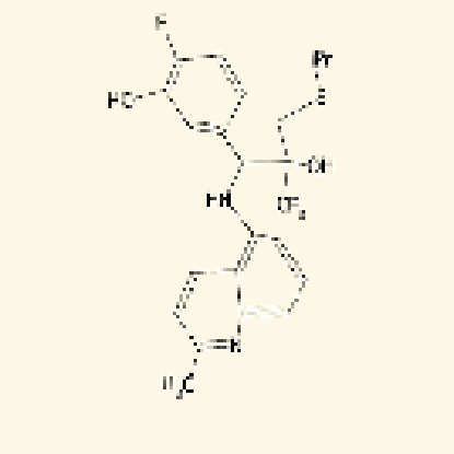 Cc1ccc2c(NC(c3ccc(F)c(O)c3)C(O)(CSC(C)C)C(F)(F)F)cccc2n1